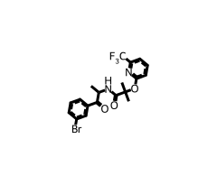 CC(NC(=O)C(C)(C)Oc1cccc(C(F)(F)F)n1)C(=O)c1cccc(Br)c1